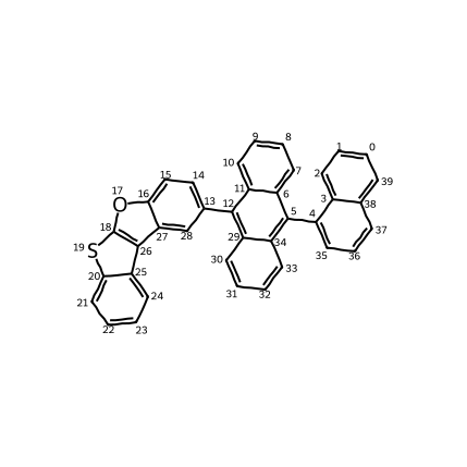 c1ccc2c(-c3c4ccccc4c(-c4ccc5oc6sc7ccccc7c6c5c4)c4ccccc34)cccc2c1